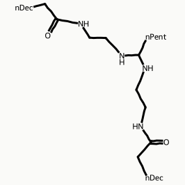 CCCCCCCCCCCC(=O)NCCNC(CCCCC)NCCNC(=O)CCCCCCCCCCC